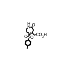 Cc1ccc(S(=O)(=O)N2CCNC(=O)CC2CC(=O)O)cc1